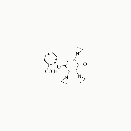 O=C(O)c1ccccc1.O=C1C=C(N2CC2)C(=O)C(N2CC2)=C1N1CC1